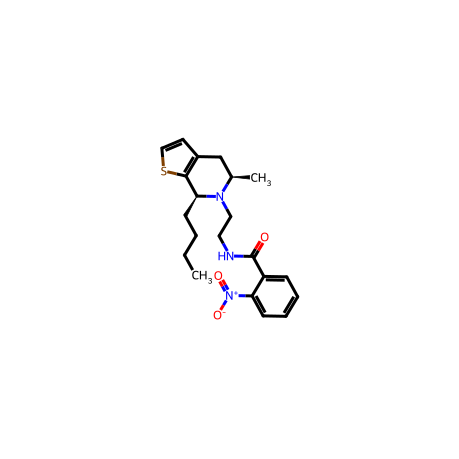 CCCC[C@H]1c2sccc2C[C@@H](C)N1CCNC(=O)c1ccccc1[N+](=O)[O-]